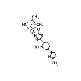 Cc1ccn(-c2ccc(-c3nnc(OC4CC5NCC(C)(C4)C(C)C5C)s3)c(O)c2)n1